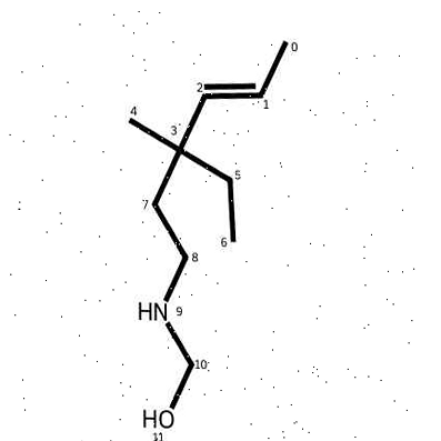 CC=CC(C)(CC)CCNCO